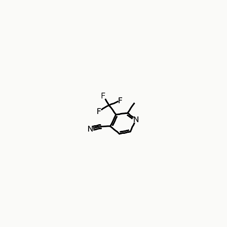 Cc1nccc(C#N)c1C(F)(F)F